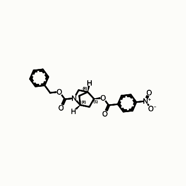 O=C(O[C@H]1C[C@H]2C[C@@H]1CN2C(=O)OCc1ccccc1)c1ccc([N+](=O)[O-])cc1